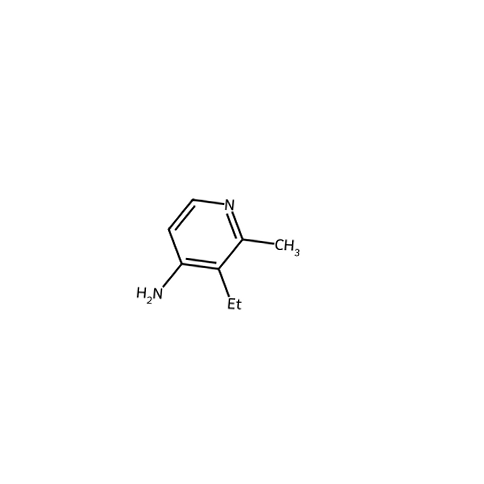 CCc1c(N)ccnc1C